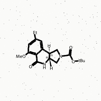 CCc1cc(OC)c2c(c1)[C@H]1CN(C(=O)OC(C)(C)C)C[C@@H]1NC2=O